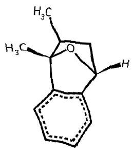 CC1C[C@H]2O[C@]1(C)c1ccccc12